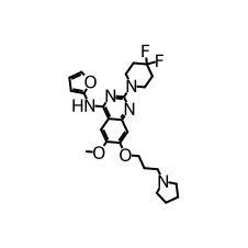 COc1cc2c(Nc3ccco3)nc(N3CCC(F)(F)CC3)nc2cc1OCCCN1CCCC1